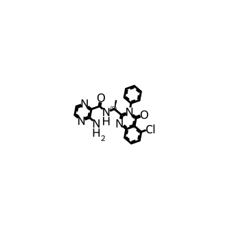 C[C@H](NC(=O)c1nccnc1N)c1nc2cccc(Cl)c2c(=O)n1-c1ccccc1